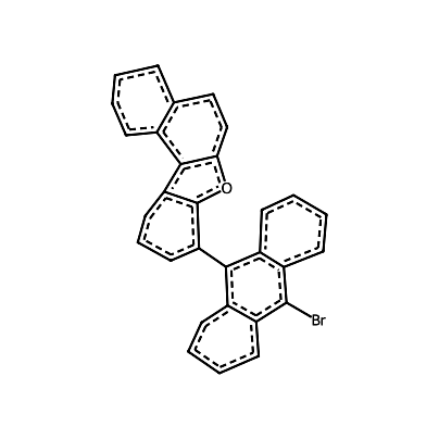 Brc1c2ccccc2c(-c2cccc3c2oc2ccc4ccccc4c23)c2ccccc12